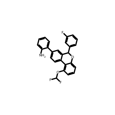 Nc1ccccc1-c1ccc2c(c1)C(c1cccc(F)c1)Oc1cccc(OC(F)F)c1-2